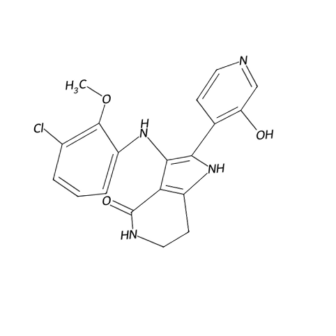 COc1c(Cl)cccc1Nc1c(-c2ccncc2O)[nH]c2c1C(=O)NCC2